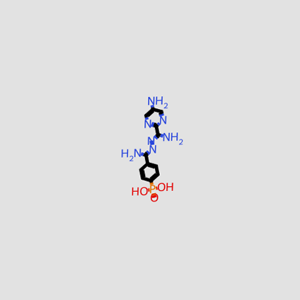 N/C(=N\N=C(/N)c1ncc(N)cn1)c1ccc(P(=O)(O)O)cc1